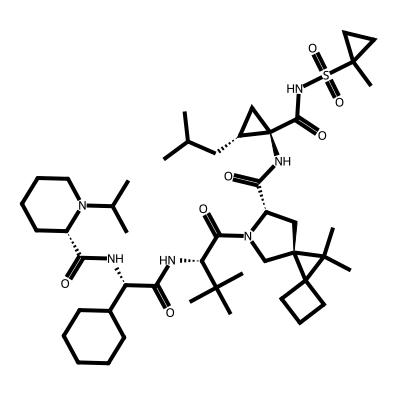 CC(C)C[C@@H]1C[C@]1(NC(=O)[C@@H]1C[C@@]2(CN1C(=O)[C@@H](NC(=O)[C@@H](NC(=O)[C@@H]1CCCCN1C(C)C)C1CCCCC1)C(C)(C)C)C(C)(C)C21CCC1)C(=O)NS(=O)(=O)C1(C)CC1